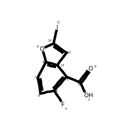 O=C(O)c1c(F)ccc2oc(I)cc12